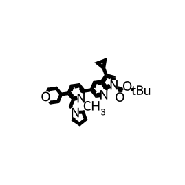 C[C@@H]1CCCN1Cc1nc(-c2cnc3c(c2)c(C2CC2)cn3C(=O)OC(C)(C)C)ccc1C1CCOCC1